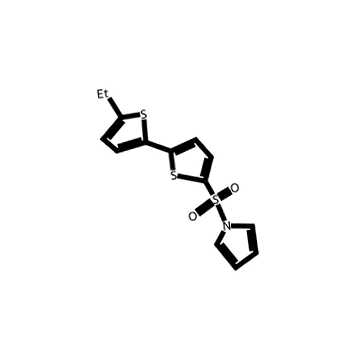 CCc1ccc(-c2ccc(S(=O)(=O)n3cccc3)s2)s1